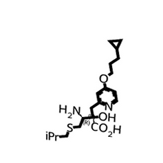 CC(C)CSC[C@H](N)[C@](O)(Cc1cc(OCCCC2CC2)ccn1)C(=O)O